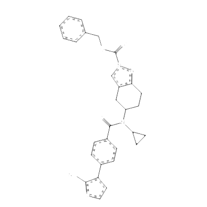 N#Cc1sccc1-c1ccc(C(=O)N(C2CC2)C2CCc3nn(C(=O)OCc4ccccc4)cc3C2)cc1